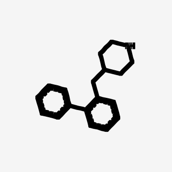 c1ccc(-c2ccccc2CC2CCNCC2)cc1